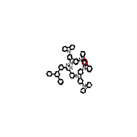 c1ccc(-c2cc(-c3ccccc3)cc(-c3cccc(-c4cc(-c5cccc(-n6c7ccc(-n8c9ccccc9c9ccccc98)cc7c7cc(-n8c9ccccc9c9ccccc98)ccc76)c5)nc(-n5c6ccc(-n7c8ccccc8c8ccccc87)cc6c6cc(-n7c8ccccc8c8ccccc87)ccc65)n4)c3)c2)cc1